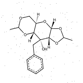 CC1OC[C@H]2O[C@@H]3OC(C)O[C@@H]3[C@@](O)(Cc3ccccc3)[C@@H]2O1